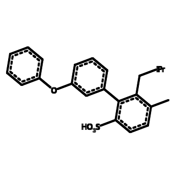 Cc1ccc(S(=O)(=O)O)c(-c2cccc(Oc3ccccc3)c2)c1CC(C)C